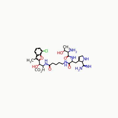 Cc1c(C(O)C(NC(=O)CCCCNC(=O)C(CC2=CCNC2C(=N)N)NC(=O)C(N)C(C)O)C(=O)O)oc2c(Cl)cccc12